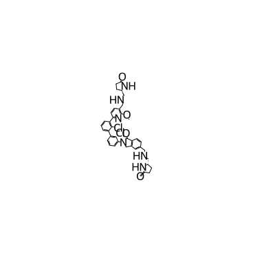 COc1nc(-c2cccc(-c3cccc(N4Cc5cc(CNC[C@@H]6CCC(=O)N6)ccc5C4=O)c3Cl)c2Cl)ccc1CNC[C@H]1CCC(=O)N1